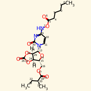 CCCCCC(=O)ONc1ccn([C@@H]2O[C@H](COC(=O)[C@@H](C)CC)[C@H]3OC(=O)O[C@H]32)c(=O)n1